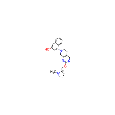 CN1CCC[C@H]1COc1ncc2c(n1)CN(c1cc(O)cc3ccccc13)CC2